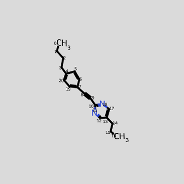 CCCCc1ccc(C#Cc2ncc(CCC)cn2)cc1